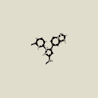 CNc1cc(-c2ccn3ncnc3c2)n(-c2cccc(C)n2)n1